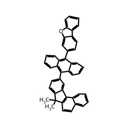 CC1(C)c2ccc(-c3c4ccccc4c(-c4ccc5c(c4)oc4ccccc45)c4ccccc34)cc2-c2c1ccc1ccccc21